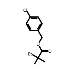 CCC(C)(I)C(=O)OCc1ccc(Cl)cc1